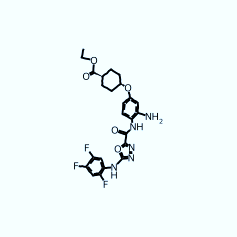 CCOC(=O)[C@H]1CC[C@@H](Oc2ccc(NC(=O)c3nnc(Nc4cc(F)c(F)cc4F)o3)c(N)c2)CC1